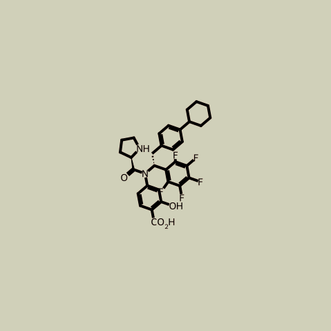 O=C(O)c1ccc(N(C(=O)[C@H]2CCCN2)[C@H](Cc2ccc(C3CCCCC3)cc2)c2c(F)c(F)c(F)c(F)c2F)cc1O